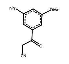 CCCc1cc(OC)cc(C(=O)CC#N)c1